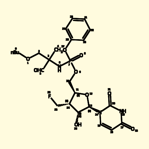 CCCCOCC(C)(C=O)NP(=O)(OC[C@H]1O[C@@H](n2ccc(=O)[nH]c2=O)[C@H](O)[C@@H]1CF)Oc1ccccc1